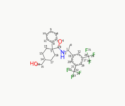 CC(NC(=O)C1(c2ccccc2)CCC(CO)CC1)c1cc(C(F)(F)F)cc(C(F)(F)F)c1